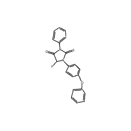 O=C1C(F)N(c2ccc(Oc3ccccc3)cc2)C(=S)N1c1ccccc1